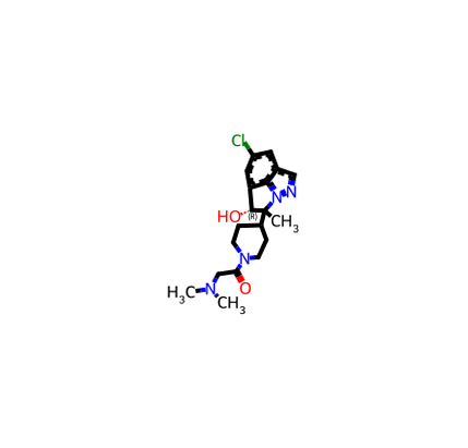 CN(C)CC(=O)N1CCC(C2(C)[C@H](O)c3cc(Cl)cc4cnn2c34)CC1